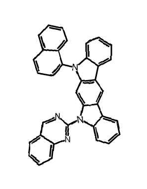 c1ccc2nc(-n3c4ccccc4c4cc5c6ccccc6n(-c6cccc7ccccc67)c5cc43)ncc2c1